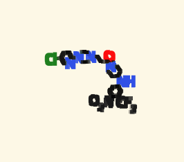 O=C(CCN1CCN(c2ccc(Cl)cn2)CC1)N1CCC(Nc2ccc([N+](=O)[O-])c(C(F)(F)F)c2)CC1